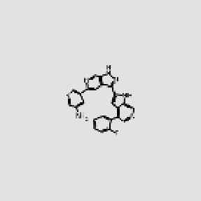 Nc1cncc(-c2cc3c(-c4cc5c(-c6ccccc6F)cncc5[nH]4)n[nH]c3cn2)c1